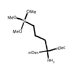 CCCCCCCCCCC(N)(CCCCCCCCCC)CCC[Si](OC)(OC)OC